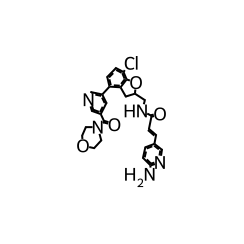 Nc1ccc(C=CC(=O)NCC2Cc3c(-c4cncc(C(=O)N5CCOCC5)c4)ccc(Cl)c3O2)cn1